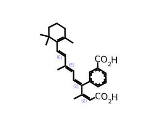 CC1=C(/C=C/C(C)=C/C=C(/C(C)=C\C(=O)O)c2cccc(C(=O)O)c2)C(C)(C)CCC1